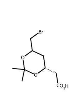 CC1(C)OC(CBr)C[C@H](CC(=O)O)O1